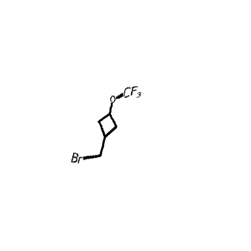 FC(F)(F)OC1CC(CBr)C1